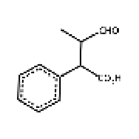 CC(C=O)C(C(=O)O)c1ccccc1